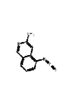 Cc1cc2c(N=C=S)cccc2cn1